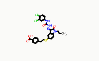 CCCN1C(=O)C(=NNC(=O)Nc2ccc(Cl)c(Cl)c2)c2cc(SCCc3ccc(C(=O)O)cc3)ccc21